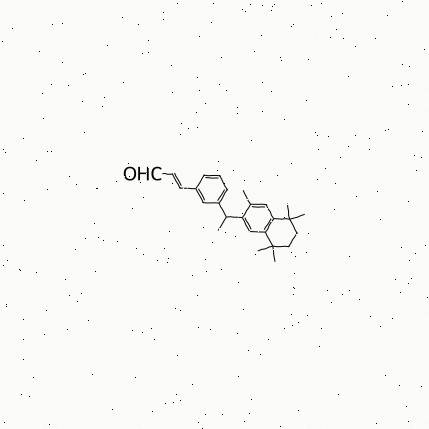 Cc1cc2c(cc1C(C)c1cccc(C=CC=O)c1)C(C)(C)CCC2(C)C